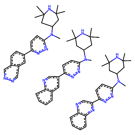 CN(c1ccc(-c2ccc3cnncc3c2)nn1)C1CC(C)(C)NC(C)(C)C1.CN(c1ccc(-c2cnc3ccccc3c2)nn1)C1CC(C)(C)NC(C)(C)C1.CN(c1ccc(-c2cnc3ccccc3n2)nn1)C1CC(C)(C)NC(C)(C)C1